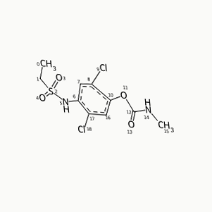 CCS(=O)(=O)Nc1cc(Cl)c(OC(=O)NC)cc1Cl